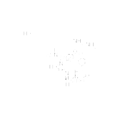 CCCCCCCCC(=O)NCC(=O)N(C)C1C(=O)N[C@@H](C)C(=O)NC(C(=O)O)Cc2ccc(OCCN)c(c2)-c2cc1ccc2OCCN